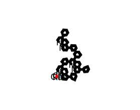 [Cl-].[Cl-].[Ru+2].c1ccc(-c2ccnc3c2ccc2c(-c4ccccc4)ccnc23)cc1.c1ccc(-c2ccnc3c2ccc2c(-c4ccccc4)ccnc23)cc1.c1ccc(-c2ccnc3c2ccc2c(-c4ccccc4)ccnc23)cc1